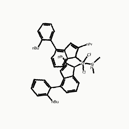 CCCCc1ccccc1-c1cccc2c1C=C(CCC)[CH]2[Zr]([Cl])([Cl])([CH]1C(CCC)=Cc2c(-c3ccccc3CCCC)cccc21)[SiH](C)C